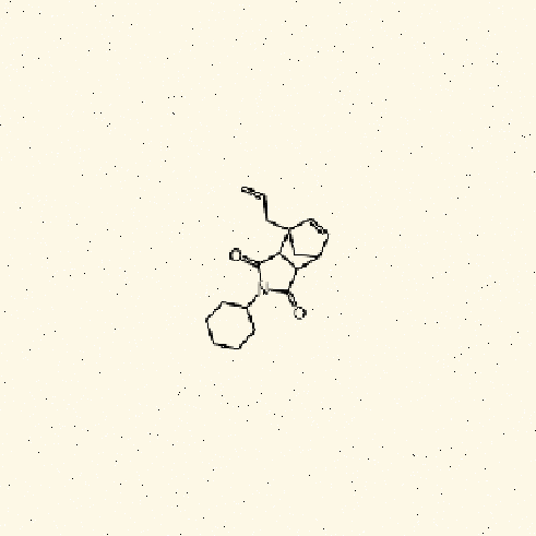 C=CCC12C=CC(C1)C1C(=O)N(C3CCCCC3)C(=O)C12